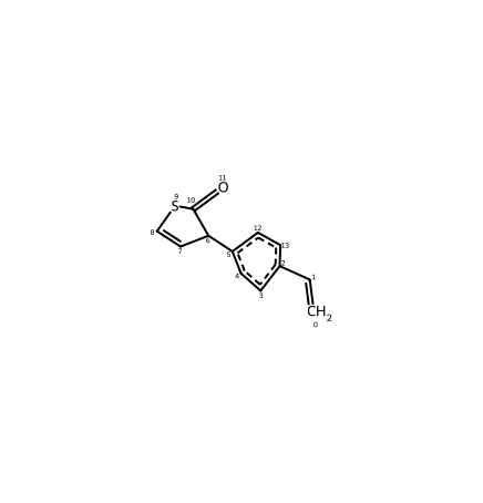 C=Cc1ccc(C2C=CSC2=O)cc1